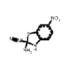 N#[N+]C1(N)Nc2ccc([N+](=O)[O-])cc2S1